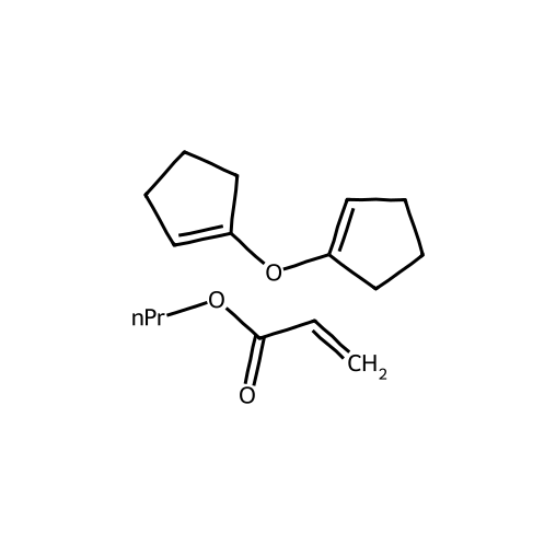 C1=C(OC2=CCCC2)CCC1.C=CC(=O)OCCC